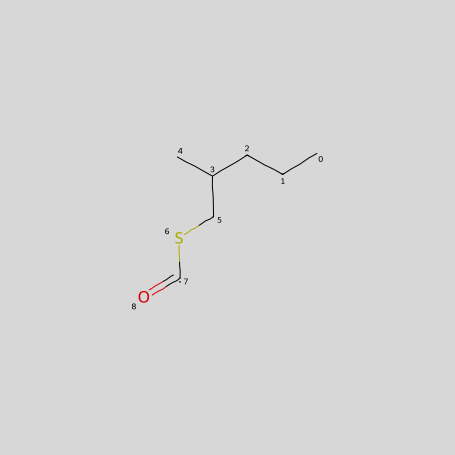 CCCC(C)CS[C]=O